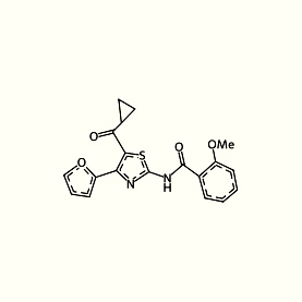 COc1ccccc1C(=O)Nc1nc(-c2ccco2)c(C(=O)C2CC2)s1